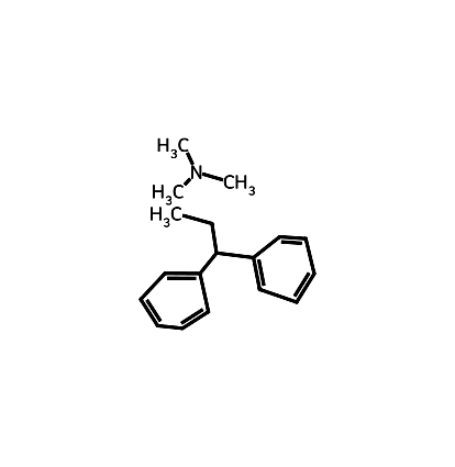 CCC(c1ccccc1)c1ccccc1.CN(C)C